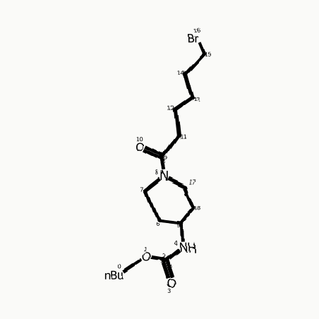 CCCCOC(=O)NC1CCN(C(=O)CCCCCBr)CC1